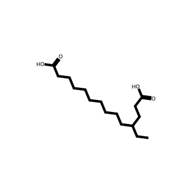 CCC(CCCCCCCCCC(=O)O)CCC(=O)O